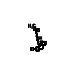 CCOC(=O)/C=C/CNCCCN1c2cc(Cl)ccc2CCc2cncnc21